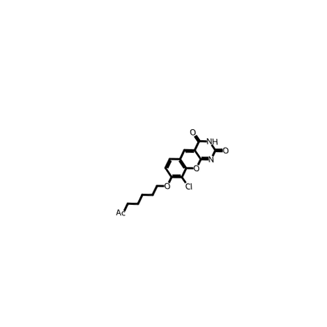 CC(=O)CCCCCOc1ccc2cc3c(=O)[nH]c(=O)nc-3oc2c1Cl